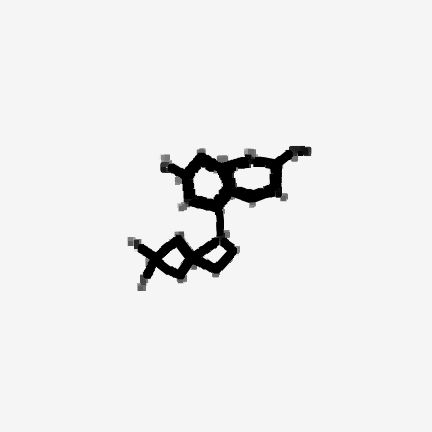 CSc1ncc2c(N3CCC34CC(F)(F)C4)nc(Cl)cc2n1